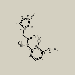 CC(=O)Nc1cccc(NC(=O)Cn2cc[n+](C)c2)c1O.[Cl-]